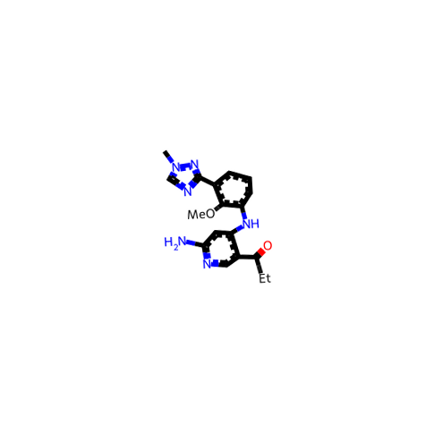 CCC(=O)c1cnc(N)cc1Nc1cccc(-c2ncn(C)n2)c1OC